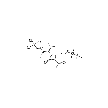 CC(=O)[C@H]1C(=O)N(C(C(=O)OCC(Cl)(Cl)Cl)=C(C)C)[C@@H]1CCS[Si](C)(C)C(C)(C)C